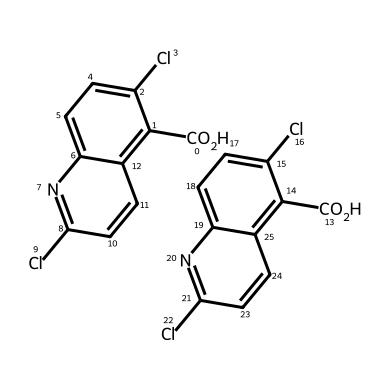 O=C(O)c1c(Cl)ccc2nc(Cl)ccc12.O=C(O)c1c(Cl)ccc2nc(Cl)ccc12